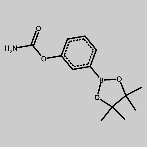 CC1(C)OB(c2cccc(OC(N)=O)c2)OC1(C)C